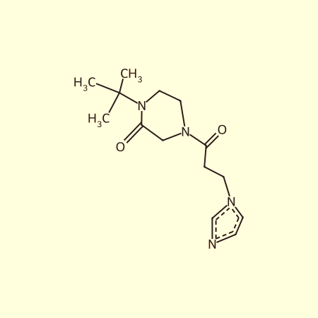 CC(C)(C)N1CCN(C(=O)CCn2ccnc2)CC1=O